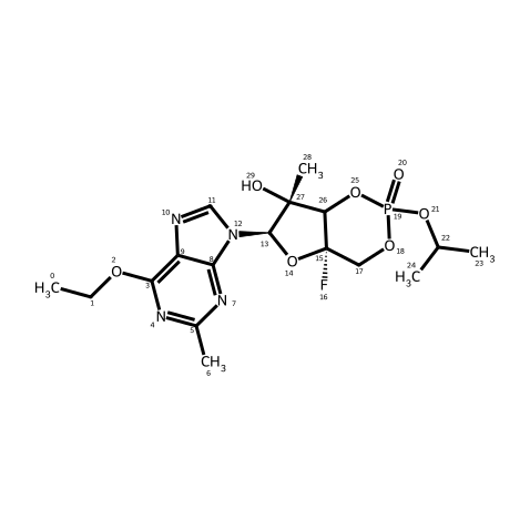 CCOc1nc(C)nc2c1ncn2[C@@H]1O[C@]2(F)COP(=O)(OC(C)C)OC2[C@@]1(C)O